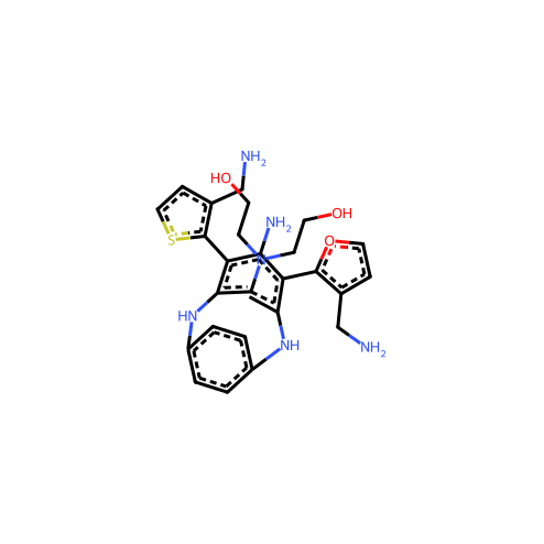 NCc1ccoc1-c1c(N)c(-c2sccc2CN)c2c(N(CCO)CCO)c1Nc1ccc(cc1)N2